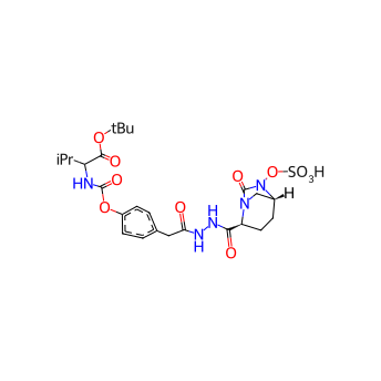 CC(C)C(NC(=O)Oc1ccc(CC(=O)NNC(=O)[C@@H]2CC[C@@H]3CN2C(=O)N3OS(=O)(=O)O)cc1)C(=O)OC(C)(C)C